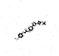 Cc1ccc(OCC(=O)N[C@H]2CC[C@H](c3nnc([C@H]4C[C@@H](OC(F)(F)F)C4)o3)OC2)cc1